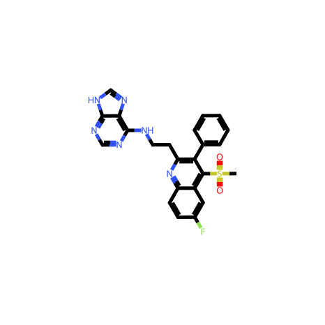 CS(=O)(=O)c1c(-c2ccccc2)c(CCNc2ncnc3[nH]cnc23)nc2ccc(F)cc12